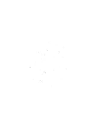 COCCC(c1ccccc1)c1nc2c(OC)ccc(C3CCN(C(=O)OC(C)(C)C)C3=O)c2[nH]1